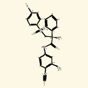 [C-]#[N+]c1ccc(NC(=O)[C@](N)(CS(=O)(=O)c2ccc(F)cc2)c2ccccc2)cc1C